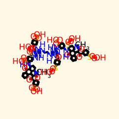 CN1C(=O)C(C(=O)c2cccc(SOOO)c2)=C2c3ccccc3C(=O)C3=C(Nc4cc(Nc5nc(NCCNc6nc(Nc7cc(NC8=C9C(=O)c%10ccccc%10C%10=C(C(=O)c%11cccc(S(=O)(=O)O)c%11)C(=O)N(C)C(C=C8)C9%10)c(S(=O)(=O)O)cc7SOOO)nc(Oc7ccc(S(=O)(=O)O)cc7)n6)nc(Oc6ccc(SOOO)cc6)n5)c(S(=O)(=O)O)cc4SOOO)C=CC1C32